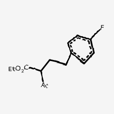 CCOC(=O)C(CCc1ccc(F)cc1)C(C)=O